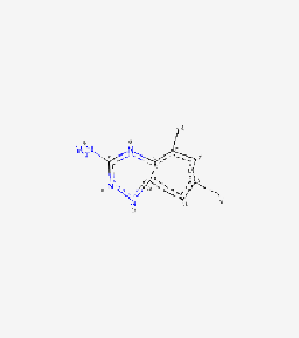 Cc1cc(C)c2nc(N)nnc2c1